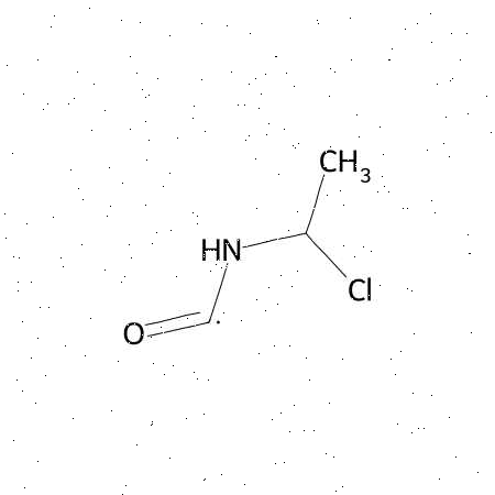 CC(Cl)N[C]=O